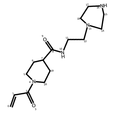 C=CC(=O)N1CCC(C(=O)NCCN2CCNCC2)CC1